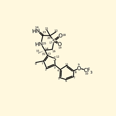 Cc1cc(-c2cccc(OC(F)(F)F)c2)sc1[C@]1(C)CS(=O)(=O)C(C)(C)C(=N)N1